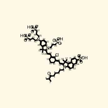 CC(C)C(=O)CCCCCN1/C(=C/C=C2\CCCC(/C=C/C3=[N+](CCCS(=O)(=O)O)c4ccc(N(CCCS(=O)(=O)O)CCCS(=O)(=O)O)cc4C3(C)C)=C2Cl)C(C)(C)c2c1ccc1cc(S(=O)(=O)O)ccc21